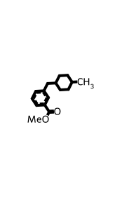 COC(=O)c1cccc(CC2CCC(C)CC2)c1